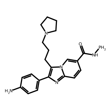 Nc1ccc(-c2nc3ccc(C(=O)NP)cn3c2CCCN2CCCC2)cc1